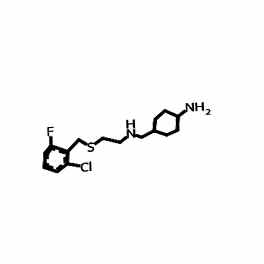 NC1CCC(CNCCSCc2c(F)cccc2Cl)CC1